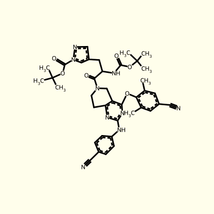 Cc1cc(C#N)cc(C)c1Oc1nc(Nc2ccc(C#N)cc2)nc2c1CN(C(=O)C(Cc1cnn(C(=O)OC(C)(C)C)c1)NC(=O)OC(C)(C)C)CC2